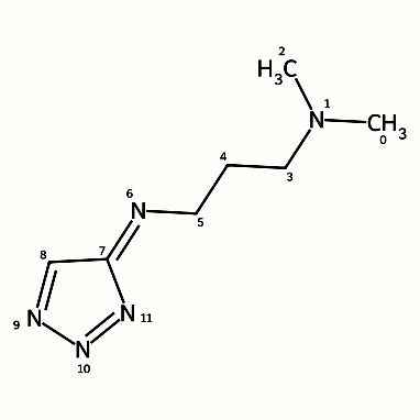 CN(C)CCC/N=C1/C=NN=N1